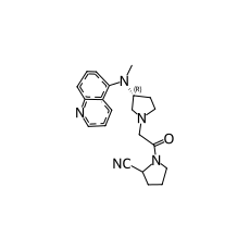 CN(c1cccc2ncccc12)[C@@H]1CCN(CC(=O)N2CCCC2C#N)C1